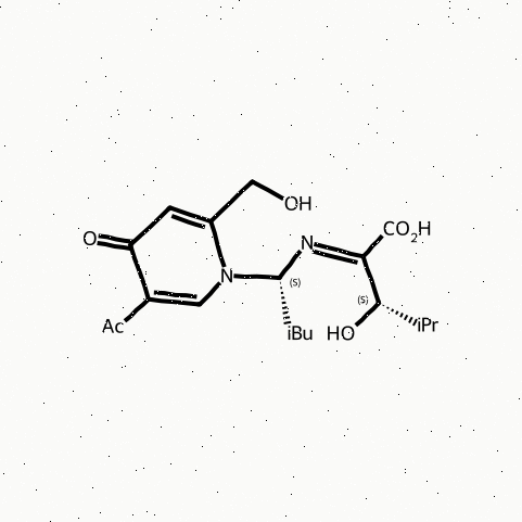 CCC(C)[C@@H](N=C(C(=O)O)[C@@H](O)C(C)C)n1cc(C(C)=O)c(=O)cc1CO